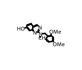 COc1ccc(CN(C)c2ncc3ccc(O)cc3n2)c(OC)c1